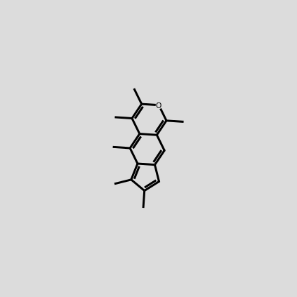 Cc1cc2cc3c(C)oc(C)c(C)c3c(C)c2c1C